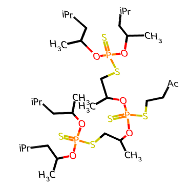 CC(=O)CCSP(=S)(OC(C)CSP(=S)(OC(C)CC(C)C)OC(C)CC(C)C)OC(C)CSP(=S)(OC(C)CC(C)C)OC(C)CC(C)C